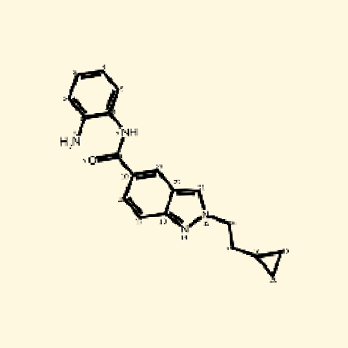 Nc1ccccc1NC(=O)c1ccc2nn(CCC3CC3)cc2c1